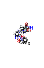 COC(=O)N(NC(=O)c1c(CN2CCC3(CC2)CC(=O)NC3=O)c(-c2ccccc2)nc2ccccc12)c1ccccc1